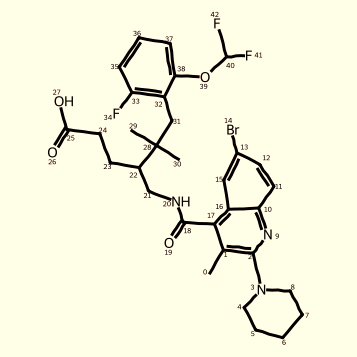 Cc1c(N2CCCCC2)nc2ccc(Br)cc2c1C(=O)NCC(CCC(=O)O)C(C)(C)Cc1c(F)cccc1OC(F)F